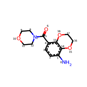 Nc1ccc(C(=O)N2CCOCC2)c2c1OCCO2